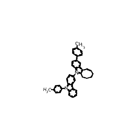 Cc1ccc(-c2ccc3c(c2)c2c(n3-c3ccc4c(c3)c3ccccc3n4-c3ccc(C)cc3)CCCC/C=C\2)cc1